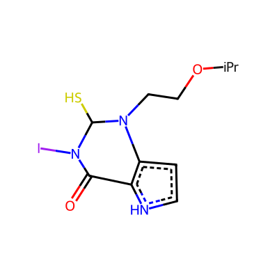 CC(C)OCCN1c2cc[nH]c2C(=O)N(I)C1S